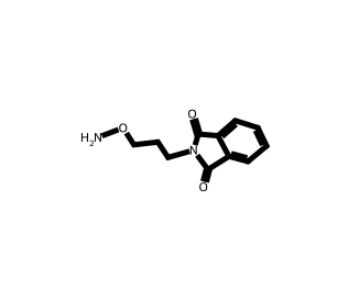 NOCCCN1C(=O)c2ccccc2C1=O